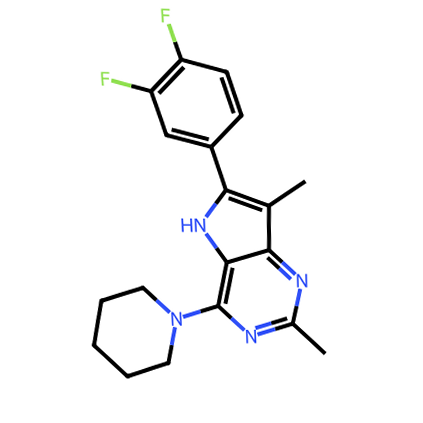 Cc1nc(N2CCCCC2)c2[nH]c(-c3ccc(F)c(F)c3)c(C)c2n1